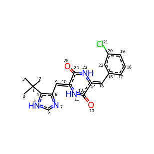 CC(C)(C)c1[nH]cnc1/C=c1\[nH]c(=O)/c(=C/c2cccc(Cl)c2)[nH]c1=O